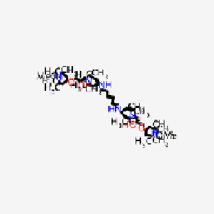 CON1C(C)(C)CC(OCC(O)CN2C(C)(C)CC(NCCCCCCNC3CC(C)(C)N(CC(O)COC4CC(C)(C)N(OC)C(C)(C)C4)C(C)(C)C3)CC2(C)C)CC1(C)C